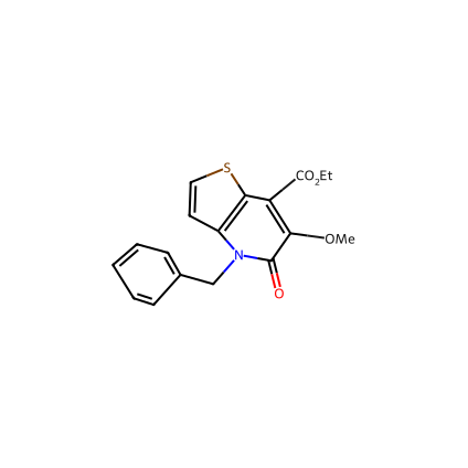 CCOC(=O)c1c(OC)c(=O)n(Cc2ccccc2)c2ccsc12